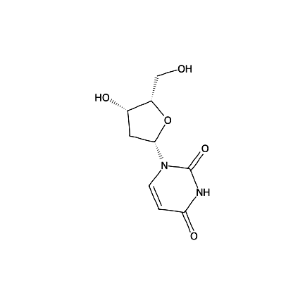 O=c1ccn([C@@H]2C[C@H](O)[C@H](CO)O2)c(=O)[nH]1